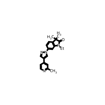 CCN1C(=O)C(C)(C)c2ccc(-n3cc(-c4ccnc(C)c4)cn3)cc21